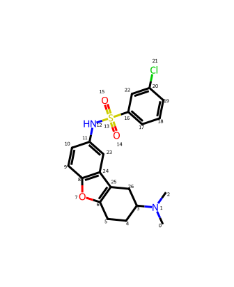 CN(C)C1CCc2oc3ccc(NS(=O)(=O)c4cccc(Cl)c4)cc3c2C1